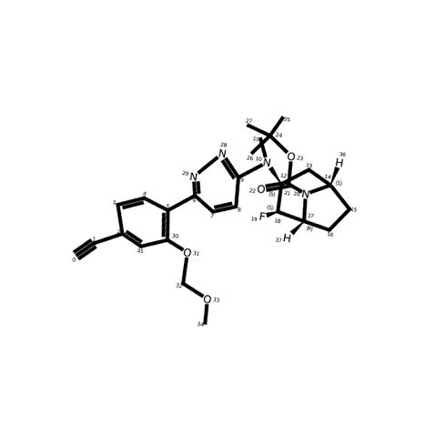 C#Cc1ccc(-c2ccc(N(C)[C@H]3C[C@@H]4CC[C@H]([C@H]3F)N4C(=O)OC(C)(C)C)nn2)c(OCOC)c1